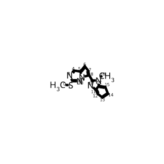 CSc1ncc2ccc(-c3nc4ccccc4n3C)n2n1